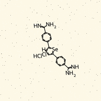 Cl.Cl.N=C(N)c1ccc(-c2ccc(-c3ccc(C(=N)N)cc3)[se]2)cc1